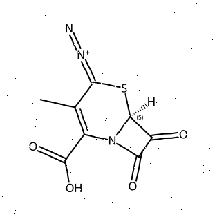 CC1=C(C(=O)O)N2C(=O)C(=O)[C@@H]2SC1=[N+]=[N-]